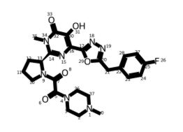 CN1CCN(C(=O)C(=O)N2CCC[C@H]2c2nc(-c3nnc(Cc4ccc(F)cc4)o3)c(O)c(=O)n2C)CC1